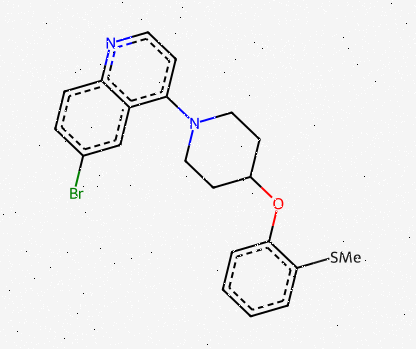 CSc1ccccc1OC1CCN(c2ccnc3ccc(Br)cc23)CC1